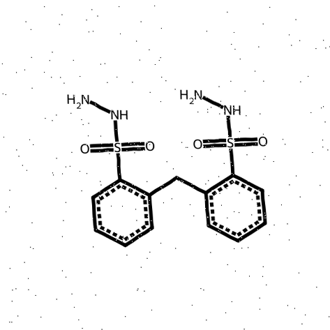 NNS(=O)(=O)c1ccccc1Cc1ccccc1S(=O)(=O)NN